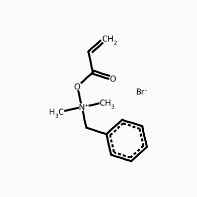 C=CC(=O)O[N+](C)(C)Cc1ccccc1.[Br-]